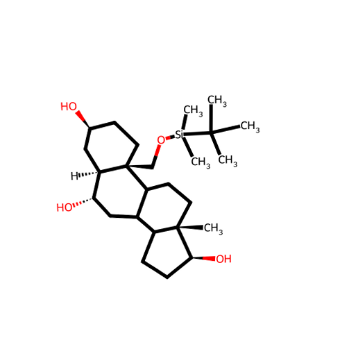 CC(C)(C)[Si](C)(C)OC[C@]12CC[C@H](O)C[C@@H]1[C@@H](O)CC1C2CC[C@@]2(C)C1CC[C@@H]2O